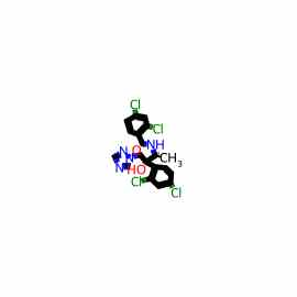 C[C@@H](NC(=O)c1ccc(Cl)cc1Cl)C(O)(Cn1cncn1)c1ccc(Cl)cc1Cl